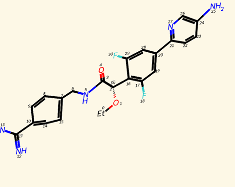 CCO[C@H](C(=O)NCc1ccc(C(=N)N)cc1)c1c(F)cc(-c2ccc(N)cn2)cc1F